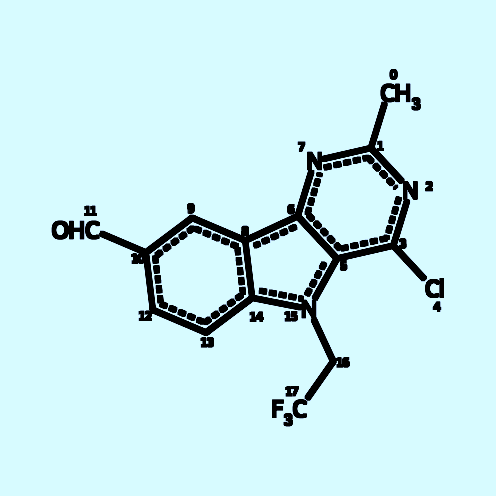 Cc1nc(Cl)c2c(n1)c1cc(C=O)ccc1n2CC(F)(F)F